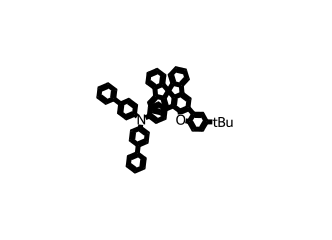 CC(C)(C)c1ccc2oc3c(-c4ccc(N(c5ccc(-c6ccccc6)cc5)c5ccc(-c6ccccc6)cc5)cc4)c4c(cc3c2c1)-c1ccccc1C41c2ccccc2-c2ccccc21